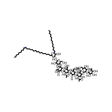 CCCCCCCC/C=C\CCCCCCCCCCCCCCCC(=O)N[C@@H](CO[C@@H]1OC(CO)[C@@H](O[C@@H]2OC(CO)[C@H](O)[C@H](O[C@@H]3OC(CO)[C@@H](O)[C@H](O[C@@H]4OC(CO)[C@H](O)[C@H](O[C@@H]5OC(CO)[C@@H](O[C@@H]6OC(CO)[C@H](O)[C@H](O)C6O[C@H]6OC(C)[C@@H](O)C(O)[C@@H]6O)[C@H](O)C5NC(C)=O)C4O)C3NC(C)=O)C2O)[C@H](O)C1O)[C@H](O)/C=C/CCCCCCCCCCCCC